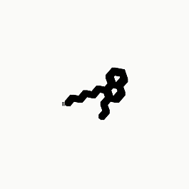 [CH2]CCCCCc1c(CCC)ccc2ccccc12